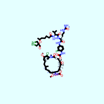 COc1cc2cc(c1Cl)N(C)C(=O)C[C@H](OC(=O)Nc1ccc(NC(=O)[C@H](CCCNC(N)=O)NC(=O)[C@@H](NC(=O)CCCCC(C)OC(C=O)(CBr)CBr)C(C)C)cc1F)[C@]1(C)O[C@H]1[C@H](C)[C@@H]1C[C@@](O)(NC(=O)O1)[C@H](OC)/C=C/C=C(\C)C2